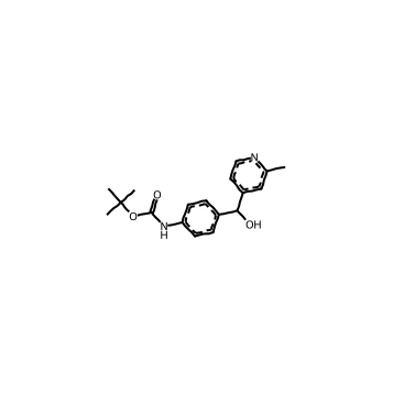 Cc1cc(C(O)c2ccc(NC(=O)OC(C)(C)C)cc2)ccn1